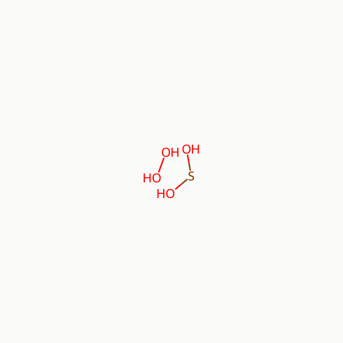 OO.OSO